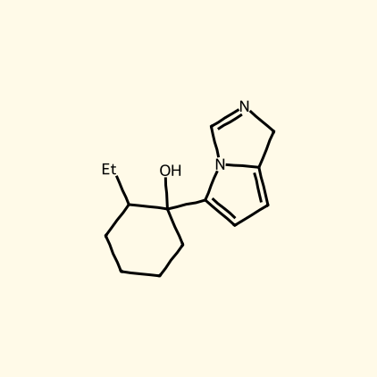 CCC1CCCCC1(O)c1ccc2n1C=NC2